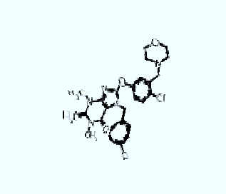 C=C1N(C)C(=O)c2c(nc(Oc3ccc(Cl)c(CN4CCOCC4)c3)n2Cc2ccc(Cl)cc2)N1C